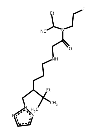 CCC(C#N)N(CCF)C(=O)CNCCCC(Cn1nccn1)C(C)(C)CC